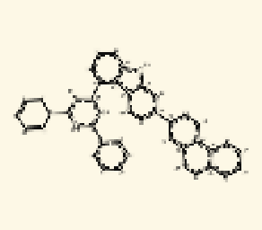 C1=CCC(c2nc(-c3ccccc3)nc(-c3cccc4oc5cc(-c6ccc7c(ccc8ccccc87)c6)ccc5c34)n2)C=C1